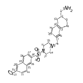 NCC1CCc2cc(CN3CCN(S(=O)(=O)c4ccc5cc(Cl)ccc5c4)CC3)ccc2C1